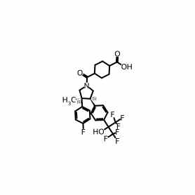 C[C@]1(c2ccc(F)cc2)CN(C(=O)C2CCC(C(=O)O)CC2)C[C@H]1c1ccc(C(O)(C(F)(F)F)C(F)(F)F)cc1